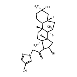 CC(C)[C@@H]1C[C@H]2[C@@H]3CC[C@H]4C[C@](C)(O)CC[C@]4(C)[C@H]3CC[C@]2(C)C1C(=O)Cn1cc(C#N)cn1